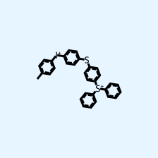 Cc1ccc([I+]c2ccc(Sc3ccc([S+](c4ccccc4)c4ccccc4)cc3)cc2)cc1